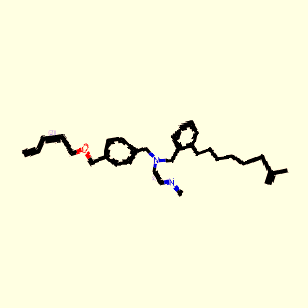 C=C/C=C\COCc1ccc(CN(/C=C\N=C)Cc2ccccc2CCCCCCC(=C)C)cc1